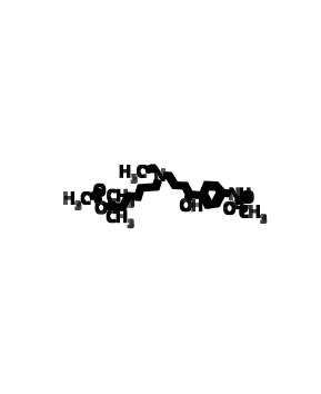 CCN(CCCCCC(C)(C)OC(C)=O)CCCC(O)c1ccc(NS(C)(=O)=O)cc1